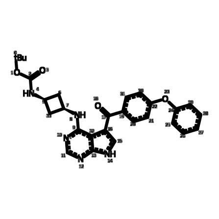 CC(C)(C)OC(=O)N[C@H]1C[C@@H](Nc2ncnc3[nH]cc(C(=O)c4ccc(Oc5ccccc5)cc4)c23)C1